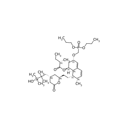 CCCOP(=O)(CO[C@@H]1C=C2C=C[C@H](C)[C@H](CC[C@@H]3C[C@@H](CC(C)(C)[Si](C)(C)O)CC(=O)O3)[C@H]2[C@@H](OC(=O)[C@@H](C)CC)C1)OCCC